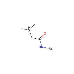 CC(=O)NC(=O)C[SiH](C)C